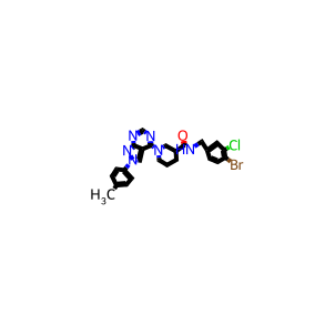 Cc1ccc(-n2cc3c(N4CCCC(C(=O)NCc5ccc(Br)c(Cl)c5)C4)ncnc3n2)cc1